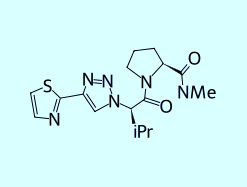 CNC(=O)[C@@H]1CCCN1C(=O)[C@@H](C(C)C)n1cc(-c2nccs2)nn1